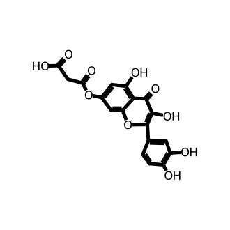 O=C(O)CC(=O)Oc1cc(O)c2c(=O)c(O)c(-c3ccc(O)c(O)c3)oc2c1